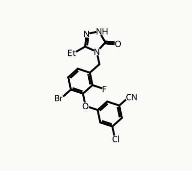 CCc1n[nH]c(=O)n1Cc1ccc(Br)c(Oc2cc(Cl)cc(C#N)c2)c1F